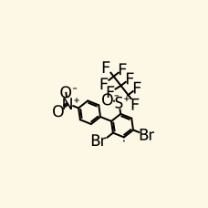 O=[N+]([O-])c1ccc(-c2c(Br)[c]c(Br)cc2[S+]([O-])C(F)(F)C(F)(F)C(F)(F)F)cc1